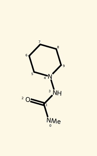 CNC(=O)NN1CCCCC1